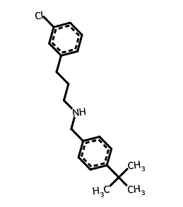 CC(C)(C)c1ccc(CNCCCc2cccc(Cl)c2)cc1